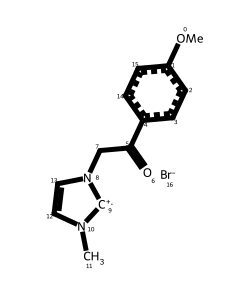 COc1ccc(C(=O)CN2[C+]N(C)C=C2)cc1.[Br-]